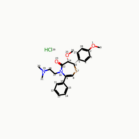 COc1ccc([C@@H]2SC=C(c3ccccc3)N(CCN(C)C)C(=O)[C@@H]2OC)cc1.Cl